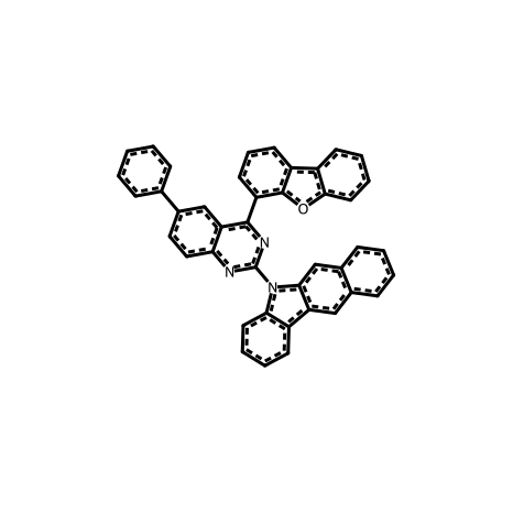 c1ccc(-c2ccc3nc(-n4c5ccccc5c5cc6ccccc6cc54)nc(-c4cccc5c4oc4ccccc45)c3c2)cc1